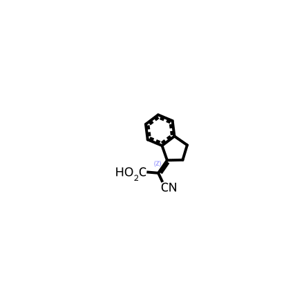 N#C/C(C(=O)O)=C1\CCc2ccccc21